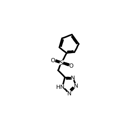 O=S(=O)(Cc1nnn[nH]1)c1ccccc1